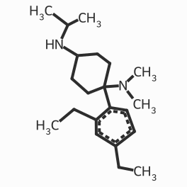 CCc1ccc(C2(N(C)C)CCC(NC(C)C)CC2)c(CC)c1